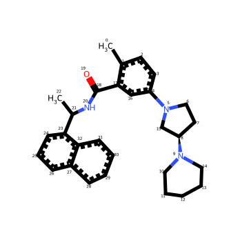 Cc1ccc(N2CC[C@@H](N3CCCCC3)C2)cc1C(=O)NC(C)c1cccc2ccccc12